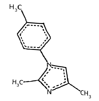 Cc1ccc(-n2cc(C)nc2C)cc1